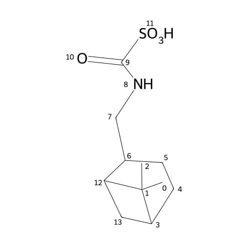 CC1(C)C2CCC(CNC(=O)S(=O)(=O)O)C1C2